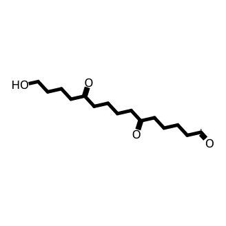 O=[C]CCCCC(=O)CCCCC(=O)CCCCO